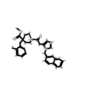 COC(=O)C1(Cc2ccccc2C)CCN(C(=O)Cc2cncn2Cc2ccc3ccccc3c2)CC1